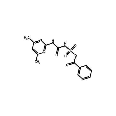 Cc1cc(C)nc(NC(=O)NS(=O)(=O)OC(=O)c2ccccc2)n1